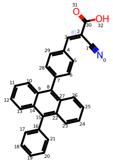 N#C/C(=C\c1ccc(-c2c3ccccc3c(-c3ccccc3)c3ccccc23)cc1)C(=O)O